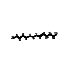 [CH2]CCCCCCCC=CCCCC